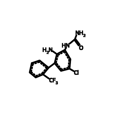 NC(=O)Nc1cc(Cl)cc(-c2ccccc2C(F)(F)F)c1N